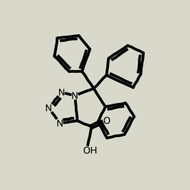 O=C(O)c1nnnn1C(c1ccccc1)(c1ccccc1)c1ccccc1